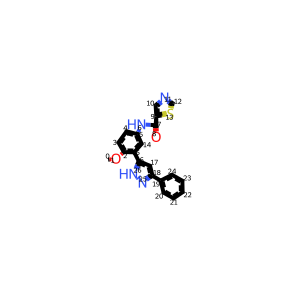 COc1ccc(NC(=O)c2cncs2)cc1-c1cc(-c2ccccc2)n[nH]1